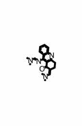 CN(C)C=Nc1c2c(nc3ccccc13)CCC(=CN(C)C)C2=O